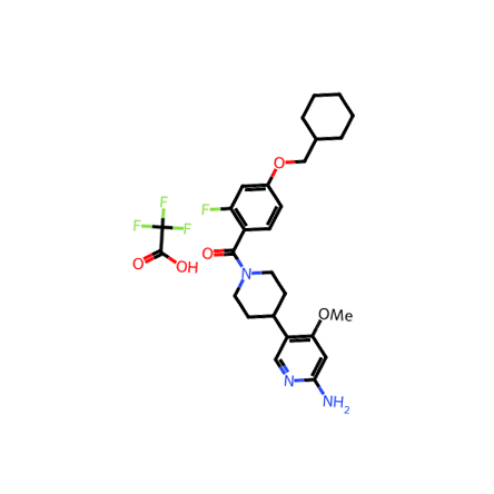 COc1cc(N)ncc1C1CCN(C(=O)c2ccc(OCC3CCCCC3)cc2F)CC1.O=C(O)C(F)(F)F